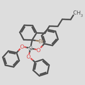 CCCCCCC1=CC=CCC1(Br)[Si](Oc1ccccc1)(Oc1ccccc1)Oc1ccccc1